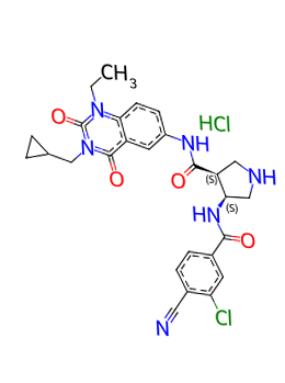 CCn1c(=O)n(CC2CC2)c(=O)c2cc(NC(=O)[C@H]3CNC[C@H]3NC(=O)c3ccc(C#N)c(Cl)c3)ccc21.Cl